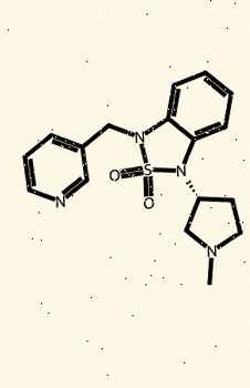 CN1CC[C@@H](N2c3ccccc3N(Cc3cccnc3)S2(=O)=O)C1